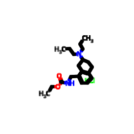 CCCN(CCC)C1CCc2cccc(CNC(=O)OCC)c2C1.Cl